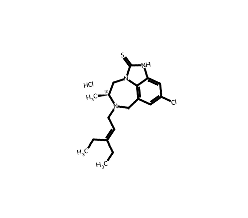 CCC(=CCN1Cc2cc(Cl)cc3[nH]c(=S)n(c23)C[C@@H]1C)CC.Cl